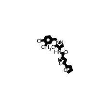 Cc1c(NC(=O)c2cc(-c3ccco3)on2)cnn1Cc1ccc(Cl)c(Cl)c1